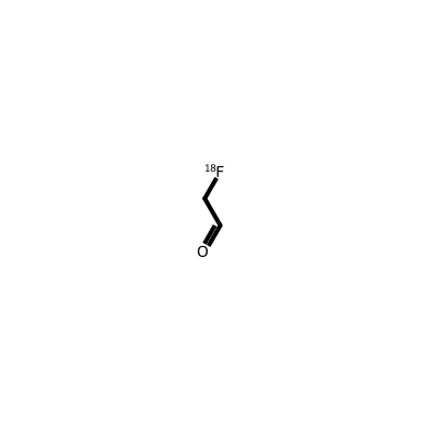 O=CC[18F]